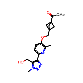 COC(=O)C12CC(COc3ccc(-c4nnn(C)c4CO)nc3C)(C1)C2